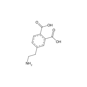 NCCc1ccc(C(=O)O)c(C(=O)O)c1